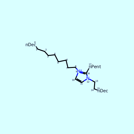 CCCCCCCCCCCCCCCCCC[n+]1ccn(CCCCCCCCCCCC)c1CCCCC